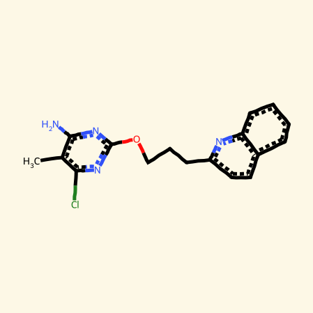 Cc1c(N)nc(OCCCc2ccc3ccccc3n2)nc1Cl